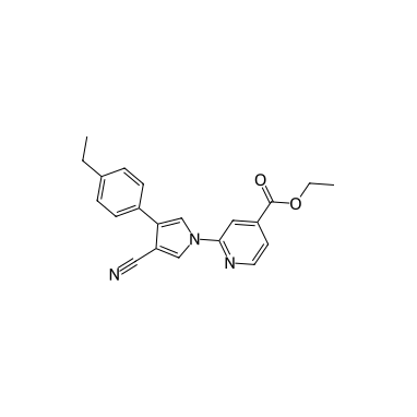 CCOC(=O)c1ccnc(-n2cc(C#N)c(-c3ccc(CC)cc3)c2)c1